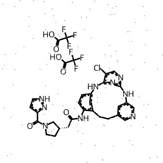 O=C(C[C@@H]1CCN(C(=O)c2cc[nH]n2)C1)Nc1ccc2cc1CCc1cncc(c1)Nc1ncc(Cl)c(n1)N2.O=C(O)C(F)(F)F.O=C(O)C(F)(F)F